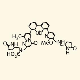 COc1nc(-c2cccc(-c3cccc(-c4cc(C)c5nc(CN(CC6CCC(=O)N6)C(=O)O)cc(=O)n5c4)c3Cl)c2Cl)ccc1CNCC1CCC(=O)N1